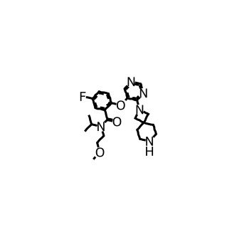 COCCN(C(=O)c1cc(F)ccc1Oc1cncnc1N1CC2(CCNCC2)C1)C(C)C